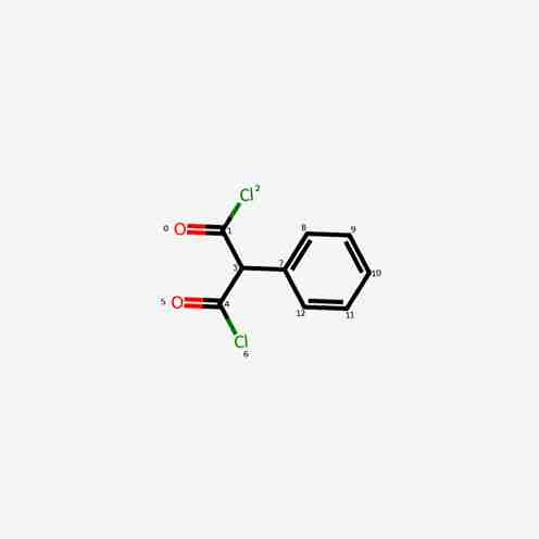 O=C(Cl)C(C(=O)Cl)c1ccccc1